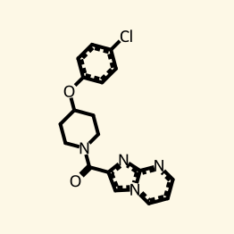 O=C(c1cn2cccnc2n1)N1CCC(Oc2ccc(Cl)cc2)CC1